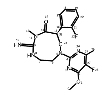 COc1nc(N2CCNC(=N)N(C)C(=O)[C@@H](c3ccccc3F)C2)nc(C)c1F